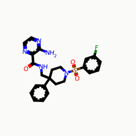 Nc1nccnc1C(=O)NCC1(c2ccccc2)CCN(S(=O)(=O)c2cccc(F)c2)CC1